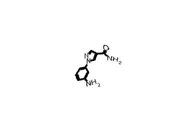 NC(=O)c1cnn(-c2cccc(N)c2)c1